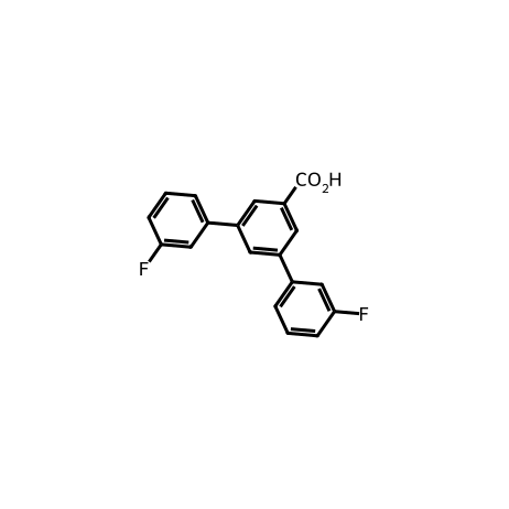 O=C(O)c1cc(-c2cccc(F)c2)cc(-c2cccc(F)c2)c1